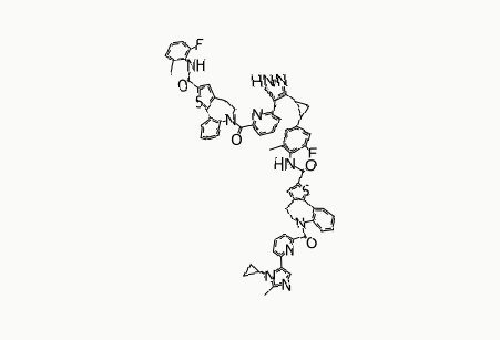 Cc1cccc(F)c1NC(=O)c1cc2c(s1)-c1ccccc1N(C(=O)c1cccc(-c3c[nH]nc3C3CC3c3cc(C)c(NC(=O)c4cc5c(s4)-c4ccccc4N(C(=O)c4cccc(-c6cnc(C)n6C6CC6)n4)CC5)c(F)c3)n1)CC2